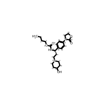 CCCCOC(=O)N[C@H](CCN1CCC(O)CC1)c1ccc(N2CCOC2=O)cc1